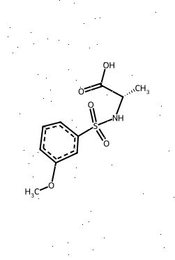 COc1cccc(S(=O)(=O)N[C@@H](C)C(=O)O)c1